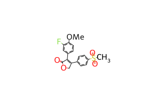 COc1ccc(C2=C(c3ccc(S(C)(=O)=O)cc3)COC2=O)cc1F